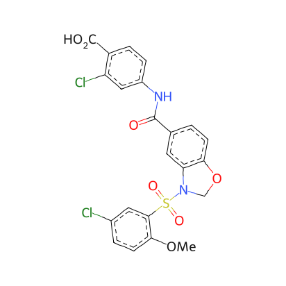 COc1ccc(Cl)cc1S(=O)(=O)N1COc2ccc(C(=O)Nc3ccc(C(=O)O)c(Cl)c3)cc21